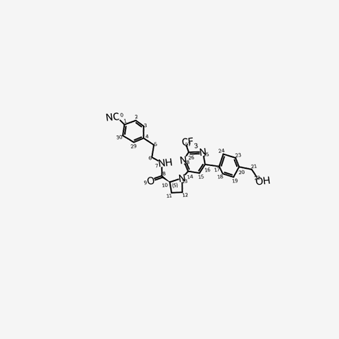 N#Cc1ccc(CCNC(=O)[C@@H]2CCN2c2cc(-c3ccc(CO)cc3)nc(C(F)(F)F)n2)cc1